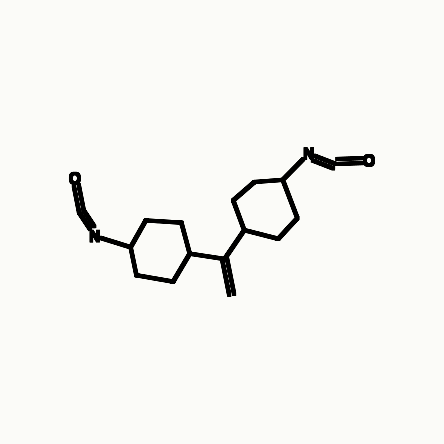 C=C(C1CCC(N=C=O)CC1)C1CCC(N=C=O)CC1